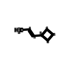 CC=C[C]1CCC1